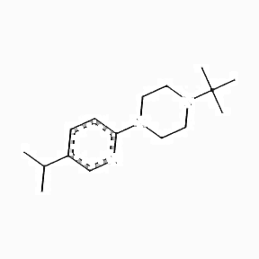 CC(C)c1ccc(N2CCN(C(C)(C)C)CC2)nc1